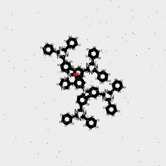 N#Cc1ccc(-n2c3ccc(-c4nc(-c5ccccc5)nc(-c5ccccc5)n4)cc3c3cc(-c4nc(-c5ccccc5)nc(-c5ccccc5)n4)ccc32)cc1-c1cnccc1-n1c2ccc(-c3nc(-c4ccccc4)nc(-c4ccccc4)n3)cc2c2cc(-c3nc(-c4ccccc4)nc(-c4ccccc4)n3)ccc21